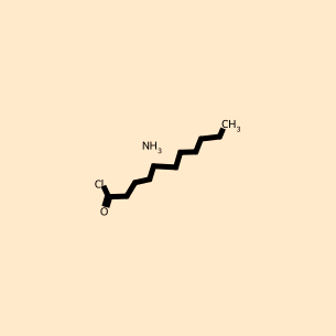 CCCCCCCCCCC(=O)Cl.N